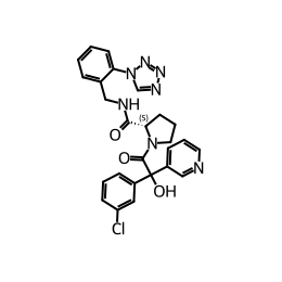 O=C(NCc1ccccc1-n1cnnn1)[C@@H]1CCCN1C(=O)C(O)(c1cccnc1)c1cccc(Cl)c1